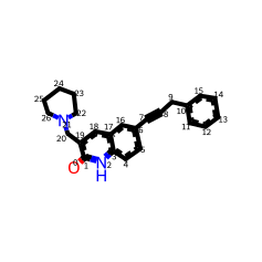 O=c1[nH]c2ccc(C#CCc3ccccc3)cc2cc1CN1CCCCC1